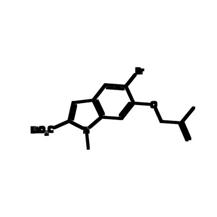 C=C(C)COc1cc2c(cc1Br)cc(C(=O)OCC)n2C